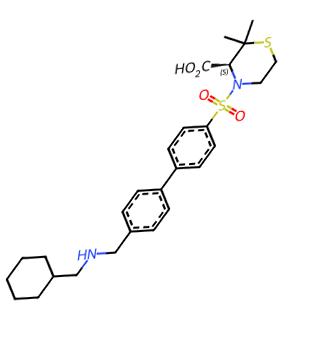 CC1(C)SCCN(S(=O)(=O)c2ccc(-c3ccc(CNCC4CCCCC4)cc3)cc2)[C@H]1C(=O)O